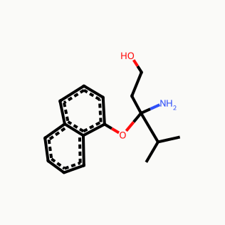 CC(C)C(N)(CCO)Oc1cccc2ccccc12